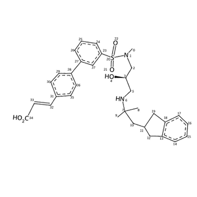 CN(C[C@H](O)CNC(C)(C)CC1Cc2ccccc2C1)S(=O)(=O)c1cccc(-c2ccc(C=CC(=O)O)cc2)c1